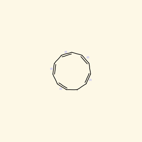 [CH]1\C=C/C=C\C=C/C=C\C=C/1